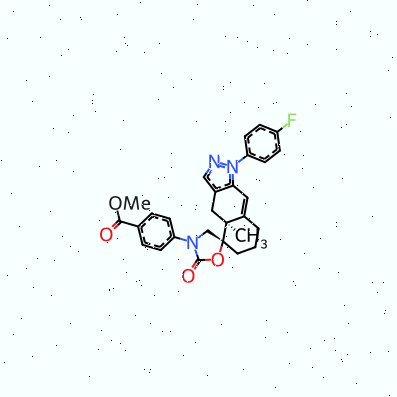 COC(=O)c1ccc(N2C[C@@]3(CCCC4=Cc5c(cnn5-c5ccc(F)cc5)C[C@@]43C)OC2=O)cc1